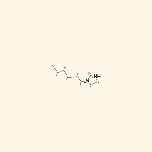 [CH2]CCCCCN1CCNC1